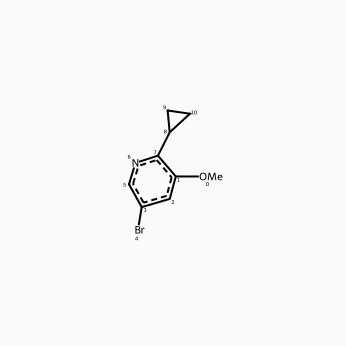 COc1cc(Br)cnc1C1CC1